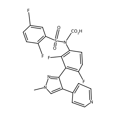 Cn1cc(-c2ccncc2)c(-c2c(F)ccc(N(C(=O)O)S(=O)(=O)c3cc(F)ccc3F)c2F)n1